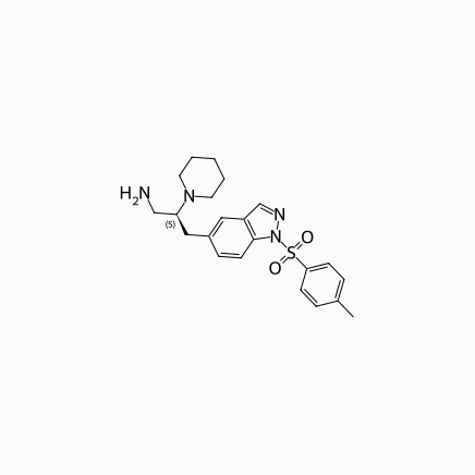 Cc1ccc(S(=O)(=O)n2ncc3cc(C[C@@H](CN)N4CCCCC4)ccc32)cc1